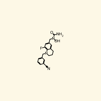 N#Cc1cccc(CN2CCCc3cc(CN(O)C(N)=O)cc(F)c32)c1